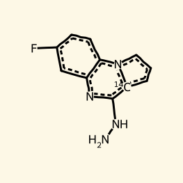 NNc1nc2cc(F)ccc2n2ccc[14c]12